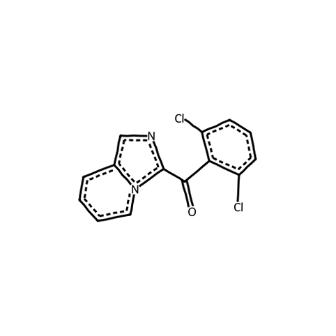 O=C(c1c(Cl)cccc1Cl)c1ncc2ccccn12